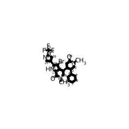 Cn1cc(-c2ccccc2)c(-c2cn(C)c(=O)c3[nH]c(-c4cnn(C(F)(F)F)c4)c(Br)c23)cc1=O